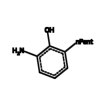 CCCCCc1cccc(N)c1O